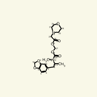 CC(Cc1ccc2c(c1)OCO2)N(C)C(=O)OCOC(=O)CN1CCOCC1